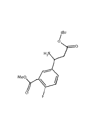 COC(=O)c1cc(C(N)CC(=O)OC(C)(C)C)ccc1F